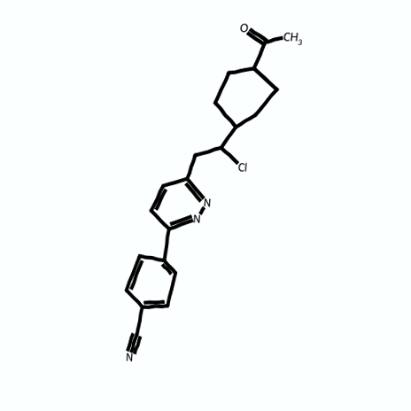 CC(=O)C1CCC(C(Cl)Cc2ccc(-c3ccc(C#N)cc3)nn2)CC1